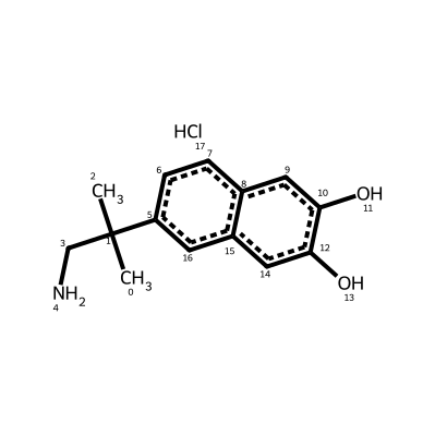 CC(C)(CN)c1ccc2cc(O)c(O)cc2c1.Cl